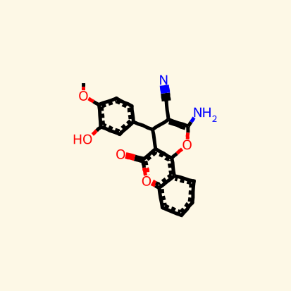 COc1ccc(C2C(C#N)=C(N)Oc3c2c(=O)oc2ccccc32)cc1O